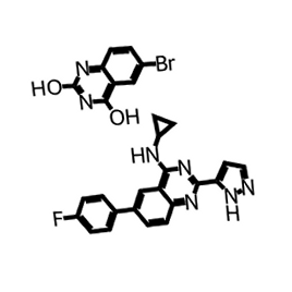 Fc1ccc(-c2ccc3nc(-c4ccn[nH]4)nc(NC4CC4)c3c2)cc1.Oc1nc(O)c2cc(Br)ccc2n1